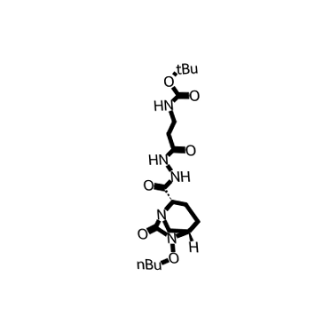 CCCCON1C(=O)N2C[C@@H]1CC[C@H]2C(=O)NNC(=O)CCNC(=O)OC(C)(C)C